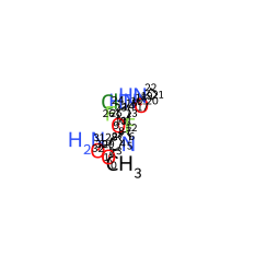 COc1cc2nccc(Oc3c(F)cc(NC(=O)NC4CCC4)c(Cl)c3F)c2cc1C(N)=O